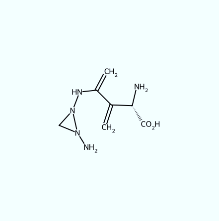 C=C(NN1CN1N)C(=C)[C@H](N)C(=O)O